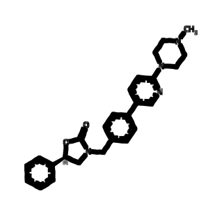 CN1CCN(c2ccc(-c3ccc(CN4C[C@@H](c5ccccc5)OC4=O)cc3)cn2)CC1